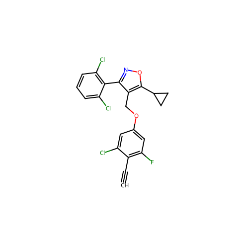 C#Cc1c(F)cc(OCc2c(-c3c(Cl)cccc3Cl)noc2C2CC2)cc1Cl